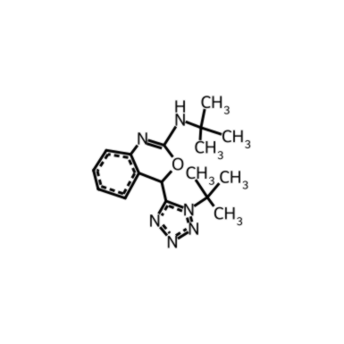 CC(C)(C)NC1=Nc2ccccc2C(c2nnnn2C(C)(C)C)O1